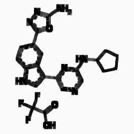 Nc1nnc(-c2ccc3[nH]cc(-c4cncc(NC5CCCC5)n4)c3c2)o1.O=C(O)C(F)(F)F